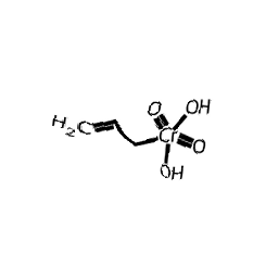 C=C[CH2][Cr](=[O])(=[O])([OH])[OH]